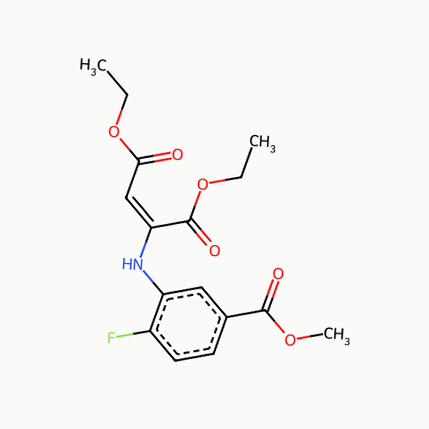 CCOC(=O)C=C(Nc1cc(C(=O)OC)ccc1F)C(=O)OCC